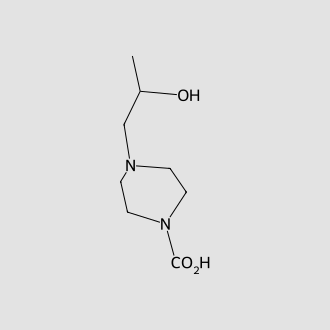 CC(O)CN1CCN(C(=O)O)CC1